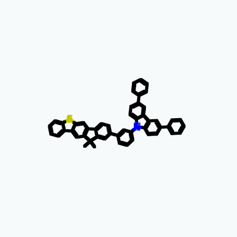 CC1(C)c2cc(-c3cccc(-n4c5ccc(-c6ccccc6)cc5c5cc(-c6ccccc6)ccc54)c3)ccc2-c2cc3sc4ccccc4c3cc21